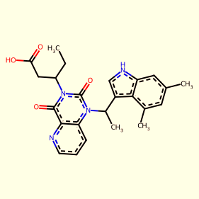 CCC(CC(=O)O)n1c(=O)c2ncccc2n(C(C)c2c[nH]c3cc(C)cc(C)c23)c1=O